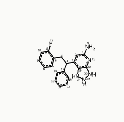 Nc1cc(C(Cc2ccccc2F)c2ccccc2)c2c(n1)NNN2